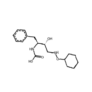 O=C(O)N[C@@H](Cc1ccccc1)[C@H](O)CNOC1CCCCC1